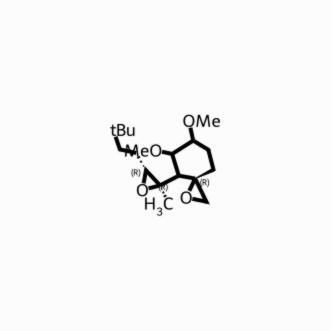 COC1CC[C@]2(CO2)C([C@@]2(C)O[C@@H]2CCC(C)(C)C)C1OC